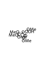 COc1ccc2c(C(=O)c3cc(OC)c(OC)c(OC)c3)c(-c3ccc(OC)c(O)c3)oc2c1